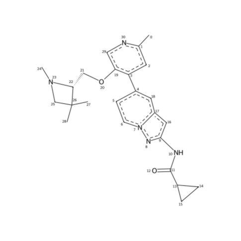 Cc1cc(-c2ccn3nc(NC(=O)C4CC4)cc3c2)c(OC[C@H]2N(C)CC2(C)C)cn1